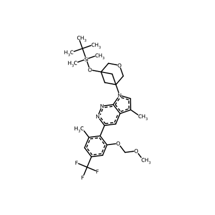 COCOc1cc(C(F)(F)F)cc(C)c1-c1cc2c(C)cn(C34COCC(O[Si](C)(C)C(C)(C)C)(C3)C4)c2nn1